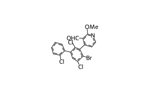 COc1nccc(-c2c(Cl)c(-c3ccccc3Cl)cc(Cl)c2Br)c1C=O